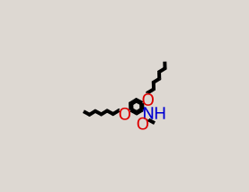 CCCCCCCOc1ccc(OCCCCCCC)c(NC(C)=O)c1